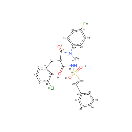 CC(C)N(C(=O)C(Cc1cccc(Cl)c1)C(=O)NS(=O)(=O)C=Cc1ccccc1)c1ccc(F)cc1